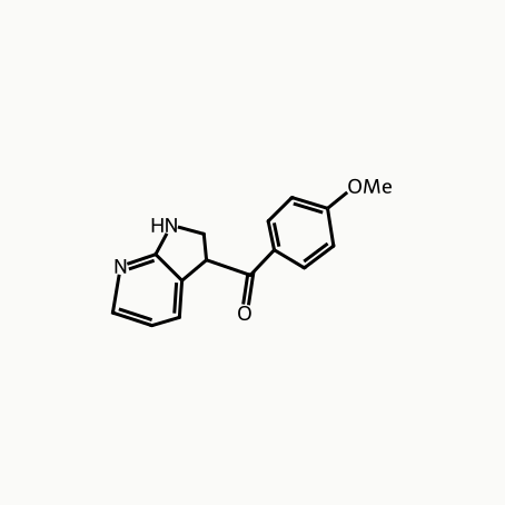 COc1ccc(C(=O)C2CNc3ncccc32)cc1